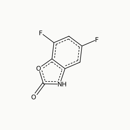 O=c1[nH]c2cc(F)cc(F)c2o1